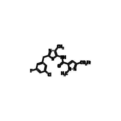 CCOC(=O)c1cc(C(=O)Nc2sc(Cc3cc(F)cc(Cl)c3)nc2C)n(C)n1